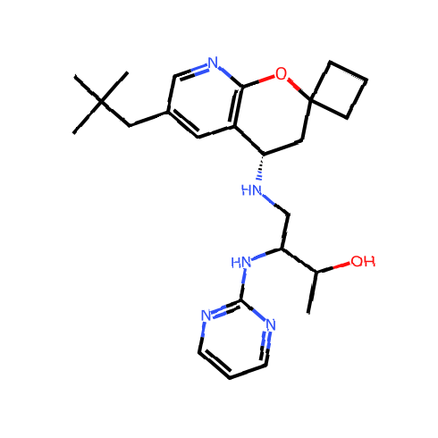 CC(O)C(CN[C@H]1CC2(CCC2)Oc2ncc(CC(C)(C)C)cc21)Nc1ncccn1